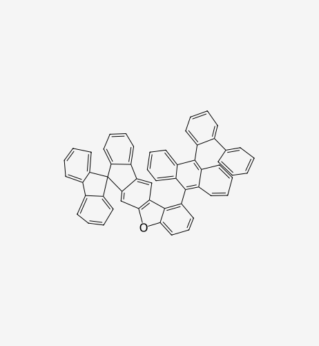 c1ccc(-c2ccccc2-c2c3ccccc3c(-c3cccc4oc5cc6c(cc5c34)-c3ccccc3C63c4ccccc4-c4ccccc43)c3ccccc23)cc1